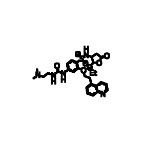 CCOC1OC(=O)CC1NS(=O)(=O)c1ccc(NC(=O)NCCN(C)C)cc1OCCc1cccc2ncccc12